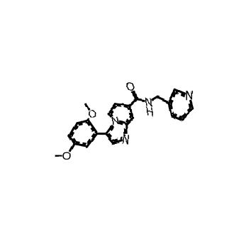 COc1ccc(OC)c(-c2cnc3cc(C(=O)NCc4cccnc4)ccn23)c1